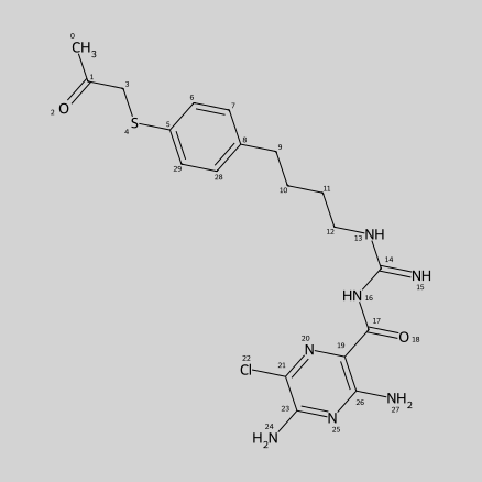 CC(=O)CSc1ccc(CCCCNC(=N)NC(=O)c2nc(Cl)c(N)nc2N)cc1